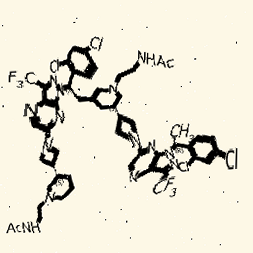 CC(=O)NCCN1CCC[C@@H](C2CN(c3cnc4c(C(F)(F)F)nn([C@H](CC5C[C@@H](C6CN(c7cnc8c(C(F)(F)F)nn([C@H](C)c9ccc(Cl)cc9Cl)c8n7)C6)CN(CCNC(C)=O)C5)c5ccc(Cl)cc5Cl)c4n3)C2)C1